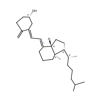 C=C1CC[C@H](O)CC1=C/C=C1\CCC[C@]2(C)[C@@H]([C@H](C)CCCC(C)C)CC[C@@H]12